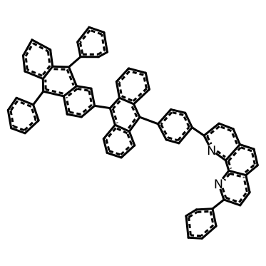 c1ccc(-c2ccc3ccc4ccc(-c5ccc(-c6c7ccccc7c(-c7ccc8c(-c9ccccc9)c9ccccc9c(-c9ccccc9)c8c7)c7ccccc67)cc5)nc4c3n2)cc1